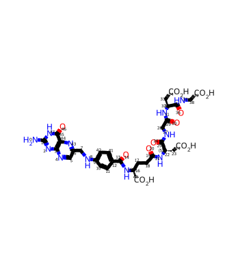 Nc1nc2ncc(CNc3ccc(C(=O)N[C@@H](CCC(=O)N[C@@H](CC(=O)O)C(=O)NCC(=O)N[C@@H](CC(=O)O)C(=O)NCC(=O)O)C(=O)O)cc3)nc2c(=O)[nH]1